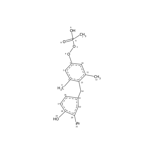 Cc1cc(OOP(C)(=O)O)cc(C)c1Cc1ccc(O)c(C(C)C)c1